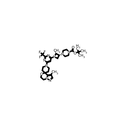 Cc1cnn2c1C1(CCN(c3cc(N4C[C@@H](N5CCN(C(=O)OC(C)(C)C)CC5)[C@H]4C)nc(C(F)(F)F)n3)CC1)OCC2